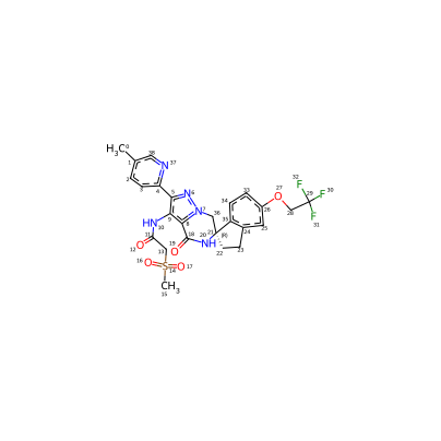 Cc1ccc(-c2nn3c(c2NC(=O)CS(C)(=O)=O)C(=O)N[C@@]2(CCc4cc(OCC(F)(F)F)ccc42)C3)nc1